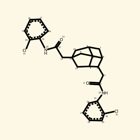 O=C(CC1C2CC3CC1CC(CC(=O)Nc1ccccc1Cl)(C3)C2)Nc1ccccc1Cl